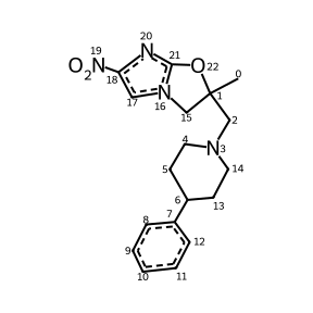 CC1(CN2CCC(c3ccccc3)CC2)Cn2cc([N+](=O)[O-])nc2O1